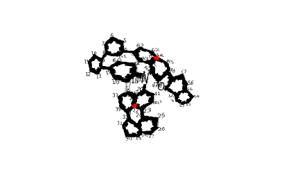 c1ccc(-c2cccc(-c3ccccc3-c3ccc(N(c4ccc(-c5cccc6cccc(-c7ccccc7)c56)cc4)c4cccc5c4oc4c6ccccc6ccc54)cc3)c2)cc1